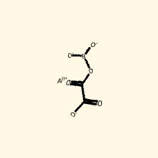 O=C([O-])C(=O)OB([O-])[O-].[Al+3]